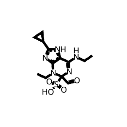 CCNC1=NC(C=O)(S(=O)(=O)O)N(CC)c2nc(C3CC3)[nH]c21